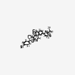 Cc1nc(OCc2ccc(F)cc2)c(Cl)c(=O)n1-c1cc(-c2ccnc(C(C)C)n2)ccc1Cl